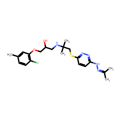 CC(C)=NNc1ccc(SCC(C)(C)NCC(O)COc2cc(C)ccc2Cl)nn1